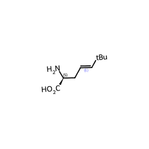 CC(C)(C)/C=C/C[C@H](N)C(=O)O